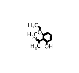 CCOc1cccc(O)c1/C(C)=N\C